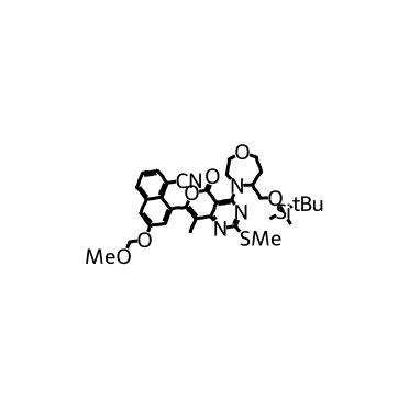 COCOc1cc(-c2oc(=O)c3c(N4CCOCCC4CO[Si](C)(C)C(C)(C)C)nc(SC)nc3c2C)c2c(C#N)cccc2c1